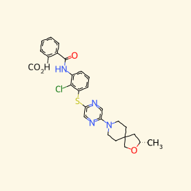 C[C@H]1CC2(CCN(c3cnc(Sc4cccc(NC(=O)c5ccccc5C(=O)O)c4Cl)cn3)CC2)CO1